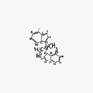 C[Si](C)(C1=CC=C2C=CC=CC21)C1C=Cc2ccccc21.[Hf]